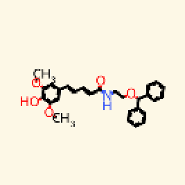 COc1cc(C=CC=CC(=O)NCCOC(c2ccccc2)c2ccccc2)cc(OC)c1O